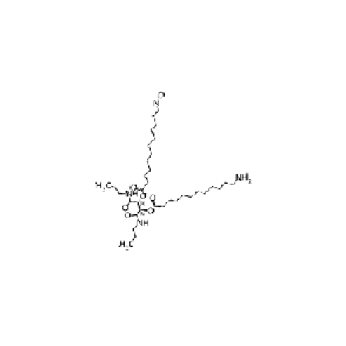 CCCNC(=O)[C@H](OC(=O)CCCCCCCCCCCN)[C@@H](OC(=O)CCCCCCCCCCCN=O)C(=O)NCCC